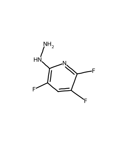 NNc1nc(F)c(F)cc1F